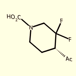 CC(=O)[C@@H]1CCN(C(=O)O)CC1(F)F